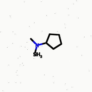 CN([SiH3])C1CCCC1